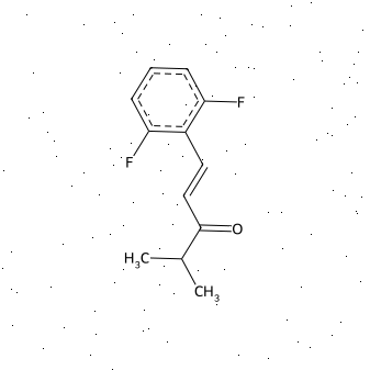 CC(C)C(=O)C=Cc1c(F)cccc1F